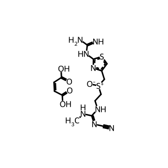 CN/C(=N/C#N)NCC[S+]([O-])Cc1csc(NC(=N)N)n1.O=C(O)/C=C\C(=O)O